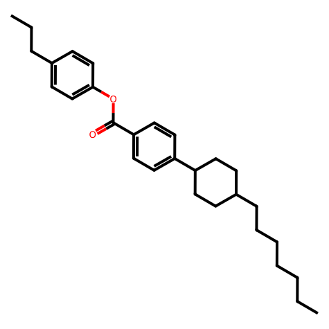 CCCCCCCC1CCC(c2ccc(C(=O)Oc3ccc(CCC)cc3)cc2)CC1